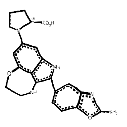 Nc1nc2cc(-c3[nH]c4cc(N5CCC[C@H]5C(=O)O)cc5c4c3NCCO5)ccc2o1